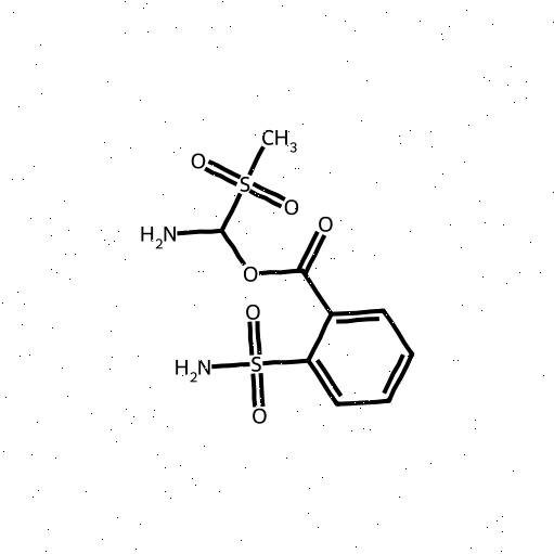 CS(=O)(=O)C(N)OC(=O)c1ccccc1S(N)(=O)=O